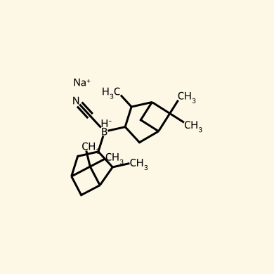 CC1C([BH-](C#N)C2CC3CC(C2C)C3(C)C)CC2CC1C2(C)C.[Na+]